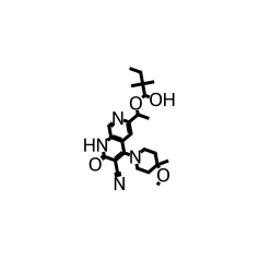 CCC(C)(C)C(O)OC(C)c1cc2c(N3CCC(C)(OC)CC3)c(C#N)c(=O)[nH]c2cn1